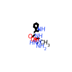 CN(CC(=O)N[C@@H](Cc1c[nH]c2ccccc12)C(=O)O)C(=N)N